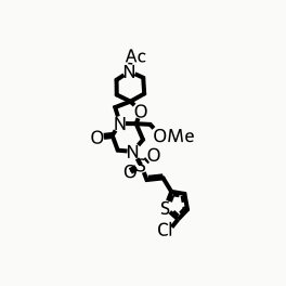 COCC12CN(S(=O)(=O)C=Cc3ccc(Cl)s3)CC(=O)N1CC1(CCN(C(C)=O)CC1)O2